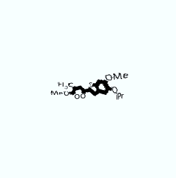 COC(=O)C(C)=CC(=O)c1cc2cc(OC(C)C)c(OC)cc2s1